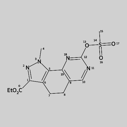 CCOC(=O)c1nn(C)c2c1CCc1cnc(OS(C)(=O)=O)nc1-2